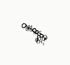 COC(=O)CC(c1ccc2ccc(OCC(=O)NC3=CCCCCC3)cc2c1)c1cc2c(cc1C)OC(F)(F)O2